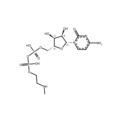 CNCCOP(=O)(O)OP(=O)(O)OC[C@H]1O[C@@H](n2ccc(N)nc2=O)[C@H](O)[C@@H]1O